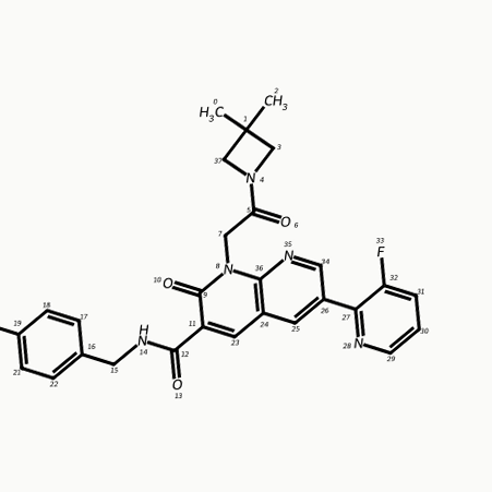 CC1(C)CN(C(=O)Cn2c(=O)c(C(=O)NCc3ccc(Cl)cc3)cc3cc(-c4ncccc4F)cnc32)C1